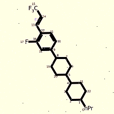 CCCC1CCC(C2CCC(c3ccc(/C=C/C(F)(F)F)c(F)c3)CC2)CC1